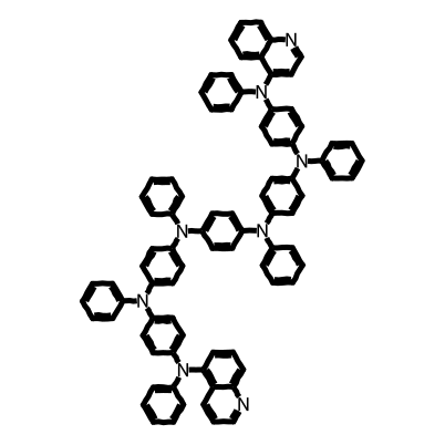 c1ccc(N(c2ccc(N(c3ccccc3)c3ccc(N(c4ccccc4)c4ccc(N(c5ccccc5)c5ccnc6ccccc56)cc4)cc3)cc2)c2ccc(N(c3ccccc3)c3ccc(N(c4ccccc4)c4cccc5ncccc45)cc3)cc2)cc1